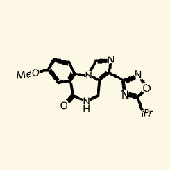 COc1ccc2c(c1)C(=O)NCc1c(-c3noc(C(C)C)n3)ncn1-2